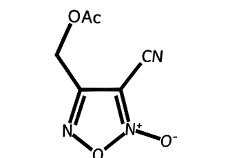 CC(=O)OCc1no[n+]([O-])c1C#N